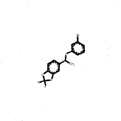 CC(Sc1cccc(Br)c1)c1ccc2c(c1)OC(F)(F)O2